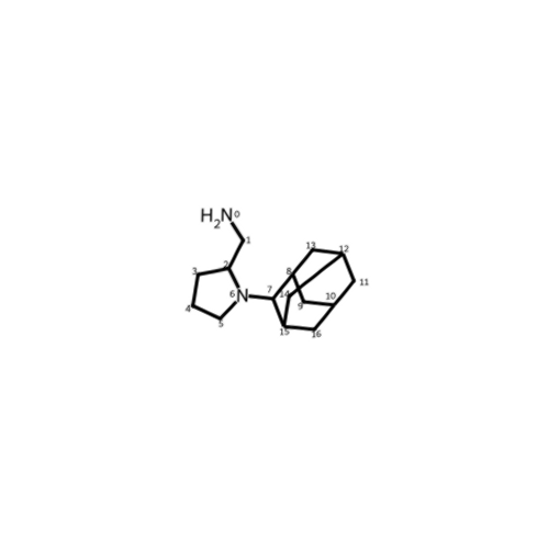 NCC1CCCN1C1C2CC3CC(C2)CC1C3